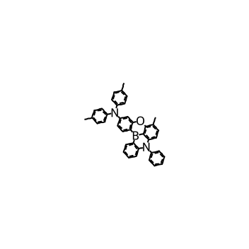 Cc1ccc(N(c2ccc(C)cc2)c2ccc3c(c2)Oc2c(C)ccc4c2B3c2ccccc2N4c2ccccc2)cc1